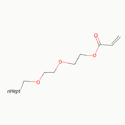 C=CC(=O)OCCOCCOCCCCCCCC